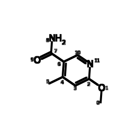 COc1cc(C)c(C(N)=O)cn1